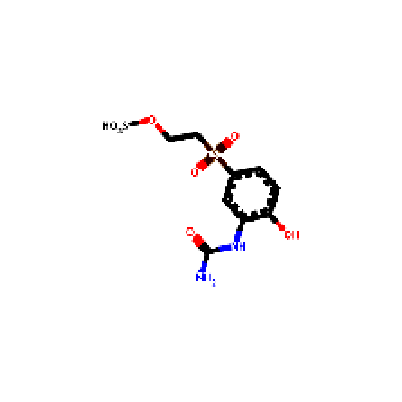 NC(=O)Nc1cc(S(=O)(=O)CCOS(=O)(=O)O)ccc1O